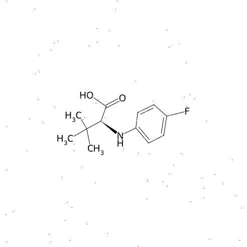 CC(C)(C)[C@H](Nc1ccc(F)cc1)C(=O)O